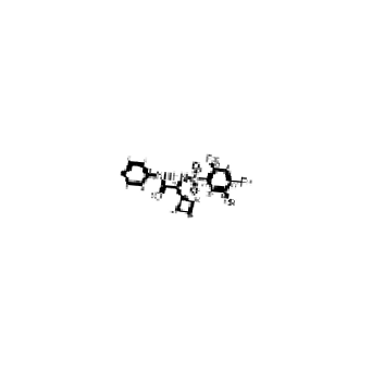 O=C(Nc1ccccc1)C(NS(=O)(=O)c1cc(Br)c(F)cc1F)C1CCC1